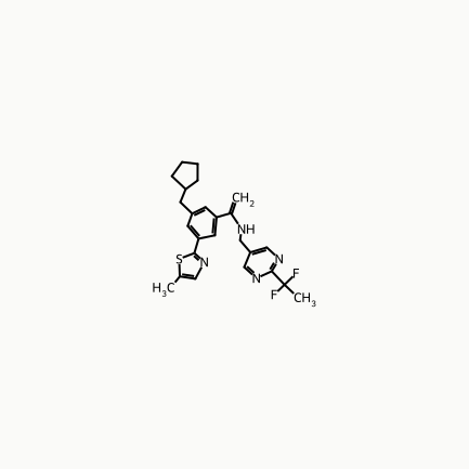 C=C(NCc1cnc(C(C)(F)F)nc1)c1cc(CC2CCCC2)cc(-c2ncc(C)s2)c1